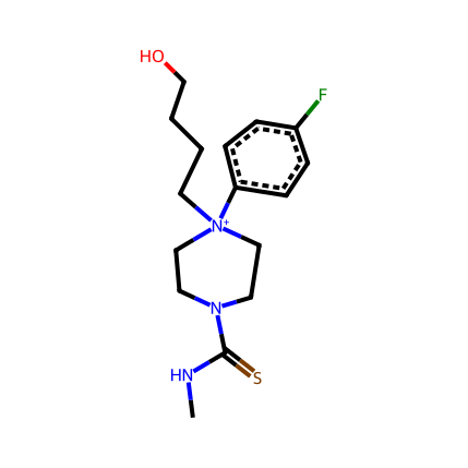 CNC(=S)N1CC[N+](CCCCO)(c2ccc(F)cc2)CC1